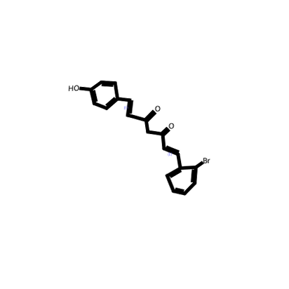 O=C(/C=C/c1ccc(O)cc1)CC(=O)/C=C/c1ccccc1Br